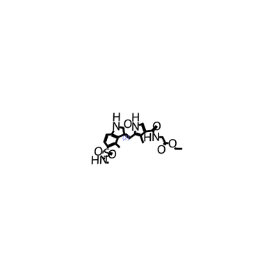 CCOC(=O)CNC(=O)c1c[nH]c(/C=C2\C(=O)Nc3ccc(S(=O)(=O)NC)c(C)c32)c1C